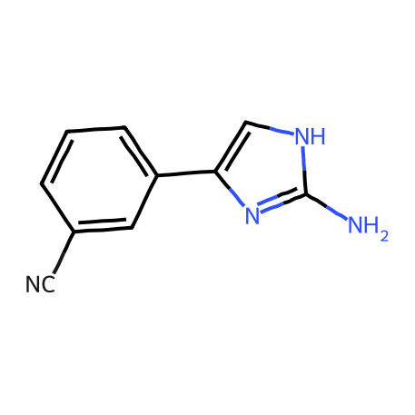 N#Cc1cccc(-c2c[nH]c(N)n2)c1